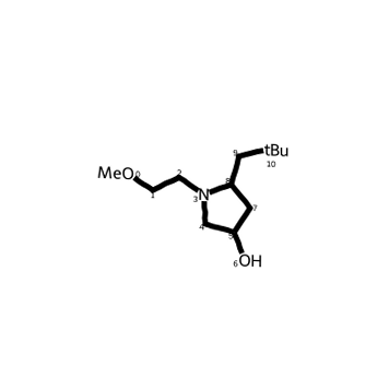 COCCN1CC(O)CC1CC(C)(C)C